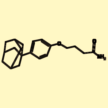 NC(=O)CCCOc1ccc(C23CC4CC(CC(C4)C2)C3)cc1